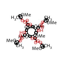 COc1cc(O)c2cc1C(c1ccc(C(=O)OCOC34CC5CC(C)(CC(OC)(C5)C3)C4)cc1)c1cc(c(OC)cc1O)C(c1ccc(C(=O)OCOC34CC5CC(C)(CC(OC)(C5)C3)C4)cc1)c1cc(c(OC)cc1O)C(c1ccc(C(=O)OCOC34CC5CC(C)(CC(OC)(C5)C3)C4)cc1)c1cc(c(OC)cc1O)C2c1ccc(C(=O)OCOC23CC4CC(C)(CC(OC)(C4)C2)C3)cc1